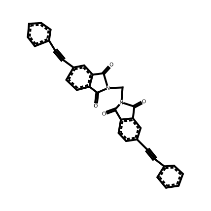 O=C1c2ccc(C#Cc3ccccc3)cc2C(=O)N1CN1C(=O)c2ccc(C#Cc3ccccc3)cc2C1=O